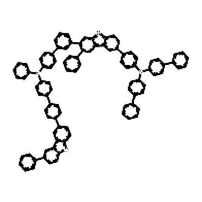 c1ccc(-c2ccc(N(c3ccc(-c4ccccc4)cc3)c3ccc(-c4ccc5oc6cc(-c7cccc(-c8ccc(N(c9ccccc9)c9ccc(-c%10ccc(-c%11ccc%12oc%13ccc(-c%14ccccc%14)cc%13c%12c%11)cc%10)cc9)cc8)c7)c(-c7ccccc7)cc6c5c4)cc3)cc2)cc1